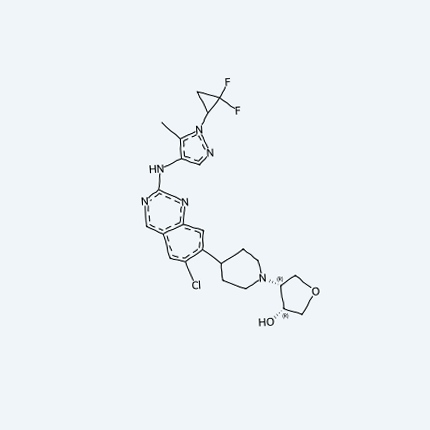 Cc1c(Nc2ncc3cc(Cl)c(C4CCN([C@@H]5COC[C@@H]5O)CC4)cc3n2)cnn1C1CC1(F)F